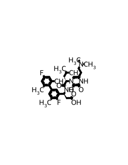 Cc1cc(-c2c(C)cc(F)cc2C)cc([C@H](CC(=O)O)NC(=O)[C@H](CC(C)C)n2cc(CCN(C)C)[nH]c(=O)c2=O)c1F